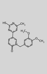 COc1ccc(Cn2cc(-c3cc(C)nc(S)n3)ccc2=O)cc1OC